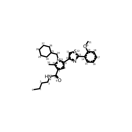 CCCCNC(=O)c1cc(-c2csc(-c3ccccc3OC)n2)n(CC2CCCCC2)c1C